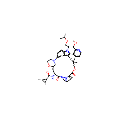 CO[C@@H](C)c1ncccc1-c1c2c3cc(ccc3n1CCOC(C)C)N1CCO[C@@H](C[C@H](NC(=O)[C@H]3[C@H](C)[C@@H]3C)C(=O)N3CCC[C@H](N3)C(=O)OCC(C)(C)C2)C1